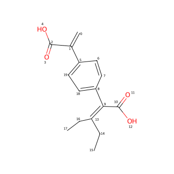 C=C(C(=O)O)c1ccc(C(C(=O)O)=C(CC)CC)cc1